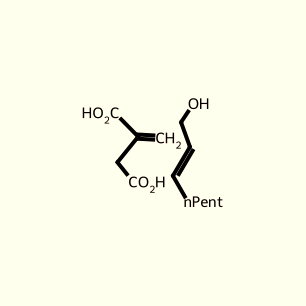 C=C(CC(=O)O)C(=O)O.CCCCCC=CCO